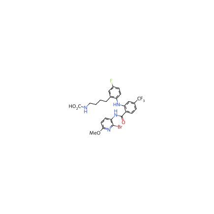 COc1ccc(NC(=O)c2ccc(C(F)(F)F)cc2Nc2ccc(F)cc2CCCCNC(=O)O)c(Br)n1